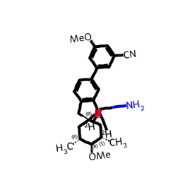 [2H]C1([2H])OC(N)=NC12c1cc(-c3cc(C#N)cc(OC)c3)ccc1C[C@@]21C[C@@H](C)[C@H](OC)[C@@H](C)C1